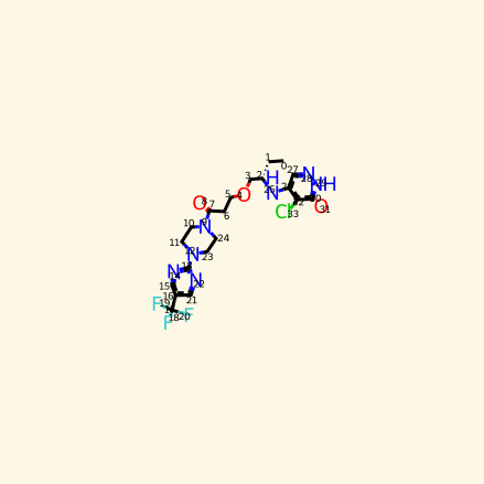 CC[C@@H](COCCC(=O)N1CCN(c2ncc(C(F)(F)F)cn2)CC1)Nc1cn[nH]c(=O)c1Cl